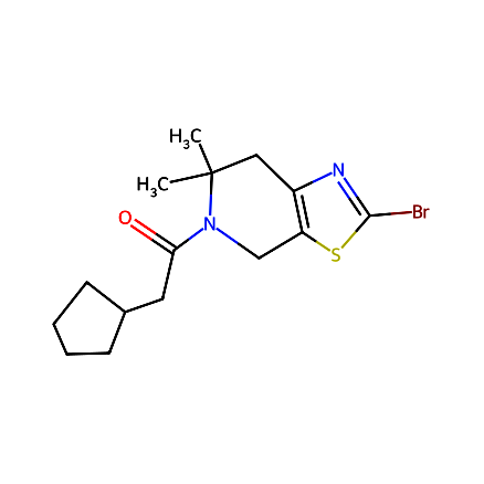 CC1(C)Cc2nc(Br)sc2CN1C(=O)CC1CCCC1